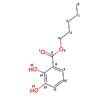 CCCCCOC(=O)c1cccc(O)c1O